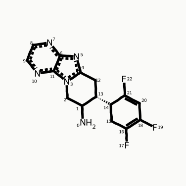 NC1Cn2c(nc3nccnc32)C[C@@H]1C1CC(F)=C(F)C=C1F